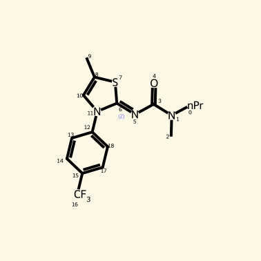 CCCN(C)C(=O)/N=c1\sc(C)cn1-c1ccc(C(F)(F)F)cc1